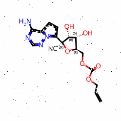 C=CCOC(=O)OC[C@H]1O[C@@](C#N)(c2ccc3c(N)ncnn23)[C@H](O)[C@@H]1O